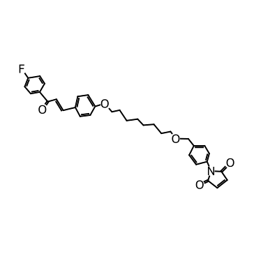 O=C(C=Cc1ccc(OCCCCCCCCOCc2ccc(N3C(=O)C=CC3=O)cc2)cc1)c1ccc(F)cc1